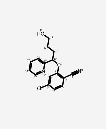 N#Cc1ccc(Cl)cc1OC(CCCO)c1ccccn1